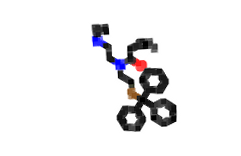 B=NCCN(CCSC(c1ccccc1)(c1ccccc1)c1ccccc1)C(=O)C=C